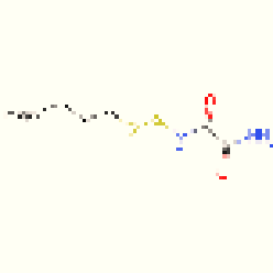 CCCCCCCCCCSSNC(=O)C(N)=O